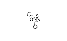 O=C(CC1CCCCC1)N1C(=S)SCC1Cc1ccccc1